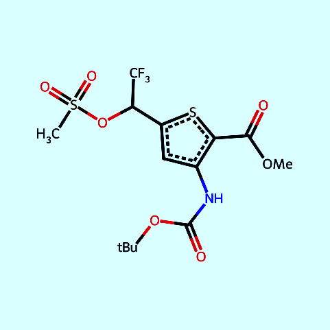 COC(=O)c1sc(C(OS(C)(=O)=O)C(F)(F)F)cc1NC(=O)OC(C)(C)C